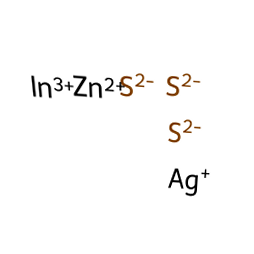 [Ag+].[In+3].[S-2].[S-2].[S-2].[Zn+2]